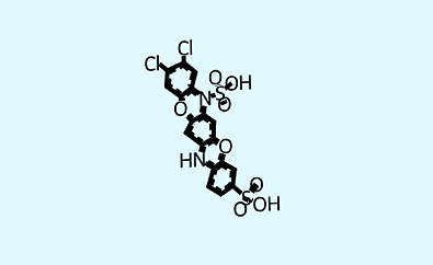 O=S(=O)(O)c1ccc2[nH]c3cc4oc5cc(Cl)c(Cl)cc5n(S(=O)(=O)O)c4cc3oc2c1